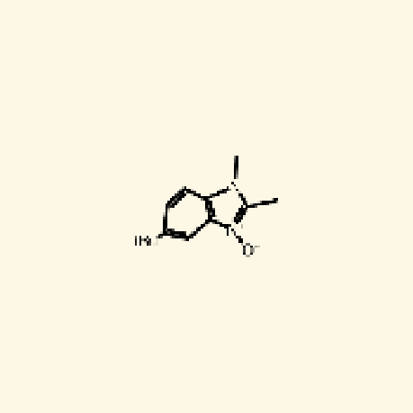 Cc1n(C)c2ccc(C(C)(C)C)cc2[n+]1[O-]